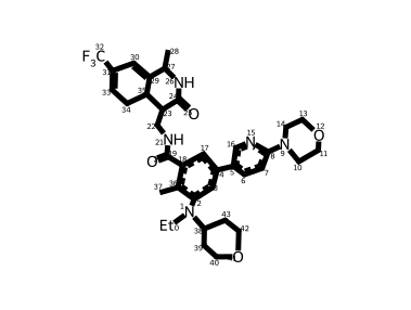 CCN(c1cc(-c2ccc(N3CCOCC3)nc2)cc(C(=O)NCC2C(=O)NC(C)C3=CC(C(F)(F)F)=CCC32)c1C)C1CCOCC1